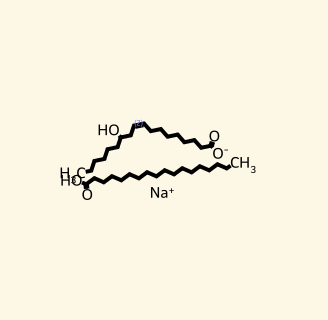 CCCCCCC(O)C/C=C\CCCCCCCC(=O)[O-].CCCCCCCCCCCCCCCCCC(=O)O.[Na+]